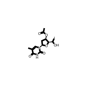 CC(=O)O[C@@H]1C[C@H](n2cc(C)c(=O)[nH]c2=O)O[C@@H]1C(O)I